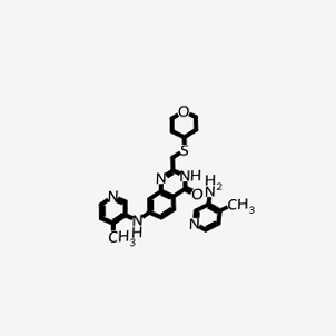 Cc1ccncc1N.Cc1ccncc1Nc1ccc2c(=O)[nH]c(CSC3CCOCC3)nc2c1